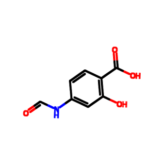 O=CNc1ccc(C(=O)O)c(O)c1